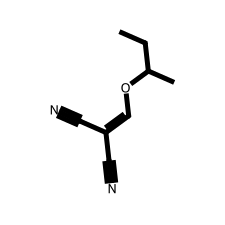 CCC(C)OC=C(C#N)C#N